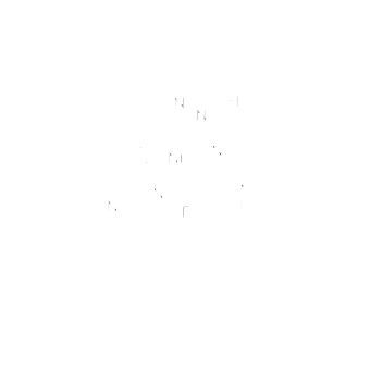 Cn1ncc(NC(=O)c2cncc(-c3ccccc3F)n2)c1N1CCCNCC1